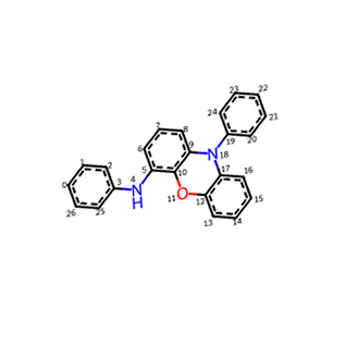 c1ccc(Nc2cccc3c2Oc2ccccc2N3c2ccccc2)cc1